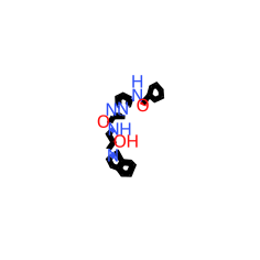 O=C(NC[C@H](O)CN1CCc2ccccc2C1)c1cn2cc(NC(=O)C3CCCCC3)ccc2n1